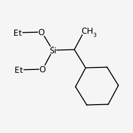 CCO[Si](OCC)C(C)C1CCCCC1